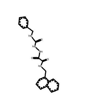 O=C(NCc1cccc2ccccc12)C(=O)NNC(=S)NCc1ccccc1